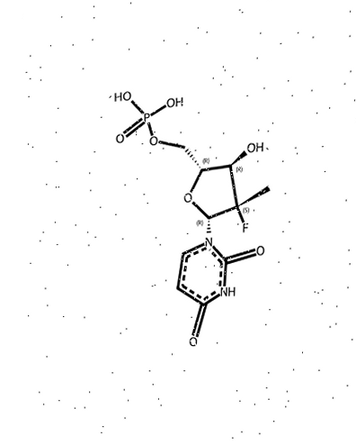 C[C@]1(F)[C@H](O)[C@@H](COP(=O)(O)O)O[C@H]1n1ccc(=O)[nH]c1=O